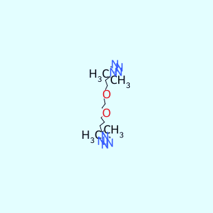 CC(C)(CCCOCCCOCCCC(C)(C)n1cnnn1)n1cnnn1